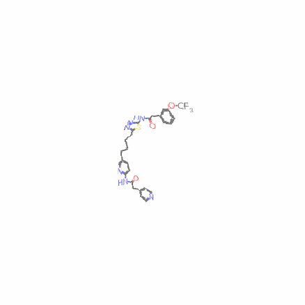 O=C(Cc1ccncc1)Nc1ccc(CCCCc2nnc(NC(=O)Cc3cccc(OC(F)(F)F)c3)s2)cn1